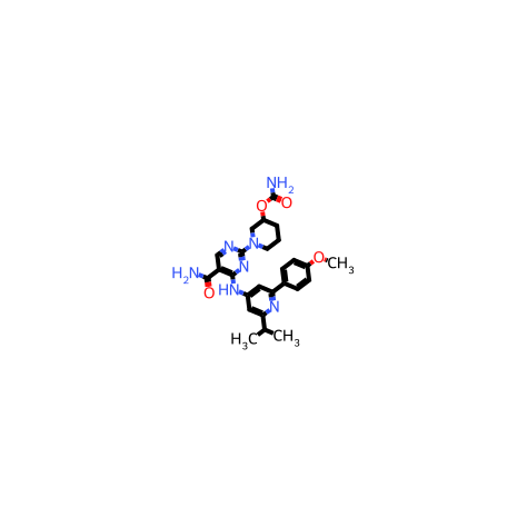 COc1ccc(-c2cc(Nc3nc(N4CCCC(OC(N)=O)C4)ncc3C(N)=O)cc(C(C)C)n2)cc1